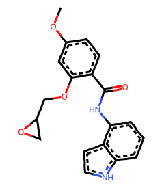 COc1ccc(C(=O)Nc2cccc3[nH]ccc23)c(OCC2CO2)c1